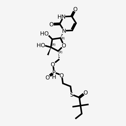 CCC(C)(C)C(=O)SCCO[PH](=O)OC[C@H]1O[C@@H](n2ccc(=O)[nH]c2=O)C(O)[C@@]1(C)O